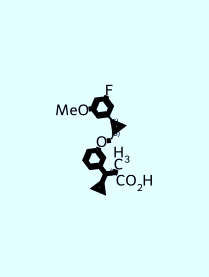 COc1cc(F)cc([C@H]2C[C@@H]2COc2cccc(C(C3CC3)[C@H](C)C(=O)O)c2)c1